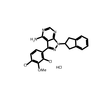 COc1c(Cl)ccc(-c2nn(C3Cc4ccccc4C3)c3ncnc(N)c23)c1Cl.Cl